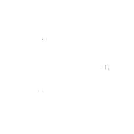 N#Cc1ccc2c(c1)C(=O)CCO2